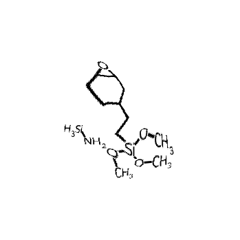 CO[Si](CCC1CCC2OC2C1)(OC)OC.N[SiH3]